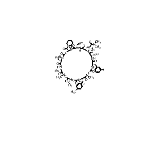 CCCC[C@@H]1NC(=O)[C@H](Cc2cccc(I)c2)NC(=O)CN(C)C(=O)[C@H](Cc2ccc(C)cc2)N(C)C(=O)CN(C)C(=O)CN(C)C(=O)[C@H]([C@@H](C)CC)NC(=O)[C@H](CC(C)C)N(C)C(=O)C[C@@H](C(=O)N2CCCCC2)N(C)C(=O)[C@H](CC(C)C)NC(=O)[C@H](CCC(=O)N(C)C)N(C)C1=O